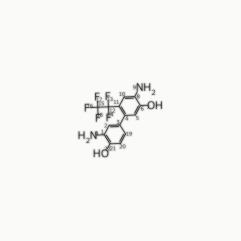 Nc1cc(-c2cc(O)c(N)cc2C(F)(F)C(F)(F)F)ccc1O